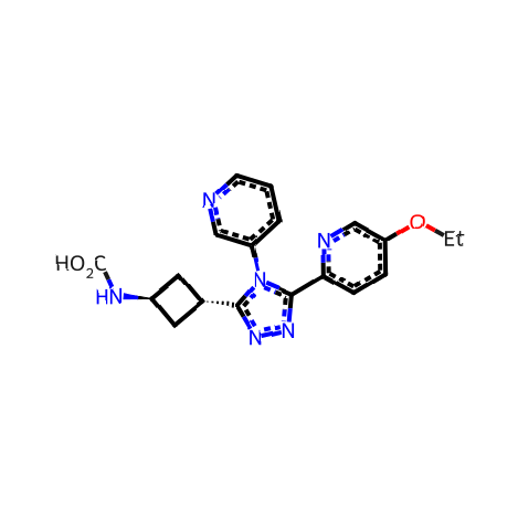 CCOc1ccc(-c2nnc([C@H]3C[C@H](NC(=O)O)C3)n2-c2cccnc2)nc1